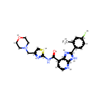 O=C(Nc1nc(CN2CCOCC2)cs1)c1ccnc2[nH]c(-c3ccc(F)cc3C(F)(F)F)nc12